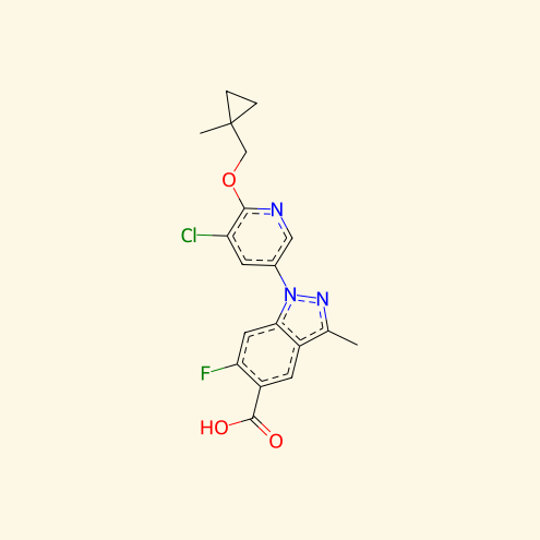 Cc1nn(-c2cnc(OCC3(C)CC3)c(Cl)c2)c2cc(F)c(C(=O)O)cc12